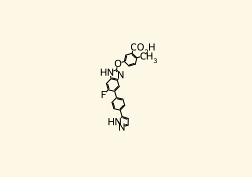 Cc1ccc(Oc2nc3cc(-c4ccc(-c5ccn[nH]5)cc4)c(F)cc3[nH]2)cc1C(=O)O